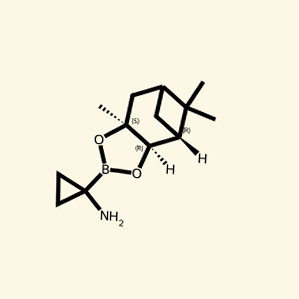 CC1(C)C2C[C@H]1[C@H]1OB(C3(N)CC3)O[C@@]1(C)C2